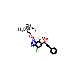 COc1c(C(=O)C#Cc2ccccc2)cc(Cl)c2ncn(COCC[Si](C)(C)C)c12